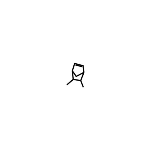 C[C]1C2C=CC(C2)C1C